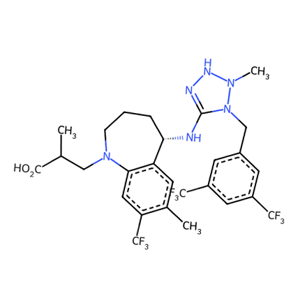 Cc1cc2c(cc1C(F)(F)F)N(CC(C)C(=O)O)CCC[C@@H]2NC1=NNN(C)N1Cc1cc(C(F)(F)F)cc(C(F)(F)F)c1